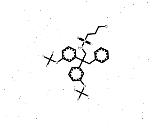 O=S(=O)(CCCCl)NCC(Cc1ccccc1)(c1cccc(OC(F)(F)F)c1)c1cccc(OC(F)(F)F)c1